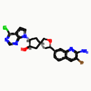 Nc1nc2cc(C3C[C@]4(CO3)C[C@@H](O)[C@H](n3ccc5c(Cl)ncnc53)C4)ccc2cc1Br